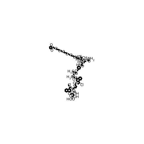 CC(C)[C@H](NC(=O)CCOCCOCCOCCOCCOCCOCCN1C(=O)C=CC1=O)C(=O)N[C@@H](CCCNC(N)=O)C(=O)Nc1ccc(COC(=O)N(C)CCN(C)C(=O)Oc2cc3c(c4ccccc24)[C@H](CCl)CN3C(=O)c2ccc(C(=O)N3C[C@@H](CCl)c4c3cc(O[C@@H]3O[C@H](C(=O)O)[C@@H](O)[C@H](O)[C@@H]3O)c3ccccc43)s2)cc1